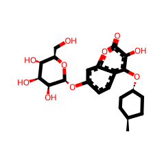 C[C@H]1CC[C@H](Oc2c(O)c(=O)oc3cc(O[C@H]4O[C@H](CO)[C@@H](O)[C@H](O)[C@@H]4O)ccc23)CC1